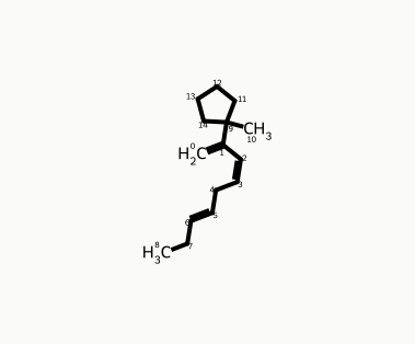 C=C(/C=C\CC=CCC)C1(C)CCCC1